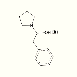 Cl.OC(Cc1ccccc1)N1CCCC1